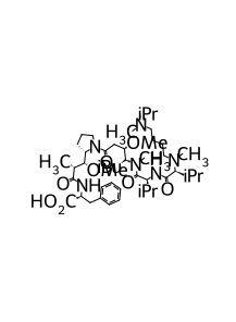 CC[C@H](C)[C@@H]([C@@H](CC(=O)N1CCC[C@H]1[C@H](OC)[C@@H](C)C(=O)N[C@@H](Cc1ccccc1)C(=O)O)OC)N(C)C(=O)[C@@H](NC(=O)[C@H](C(C)C)N(C)CCCCN(C)C(C)C)C(C)C